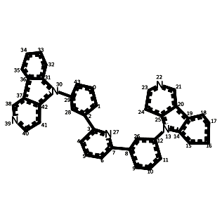 c1cc(-c2cccc(-c3cccc(-n4c5ccccc5c5cnccc54)c3)n2)cc(-n2c3ccccc3c3cnccc32)c1